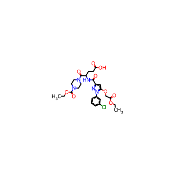 CCOC(=O)COc1cc(C(=O)NC(CCC(=O)O)C(=O)N2CCN(C(=O)OCC)CC2)nn1-c1cccc(Cl)c1